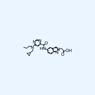 CCCN(CC1CC1)c1cc(C(=O)Nc2ccc3nn(CC(=O)O)cc3c2)ncn1